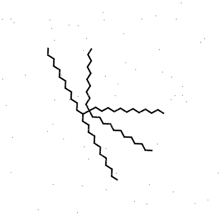 CCCCCCCCCCCC[C](CCCCCCCCCCCC)C(CCCCCCCCCC)(CCCCCCCCCCCC)CCCCCCCCCCCC